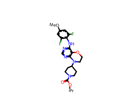 COc1cc(F)c(Nc2ncnc3c2OCCN3C2CCN(C(=O)OC(C)C)CC2)c(F)c1